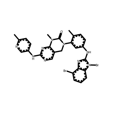 Cc1ccc(Nc2ncc3c(n2)N(C)C(=O)N(c2cc(Nc4nc5c(Br)cccc5n4Br)ccc2C)C3)cn1